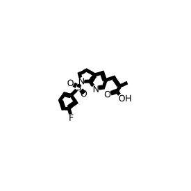 CC(=Cc1cnc2c(c1)CCN2S(=O)(=O)c1cccc(F)c1)C(=O)O